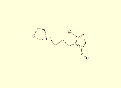 C1CCOC1.CCCCC1=[C]([V][Cl])CC=C1C